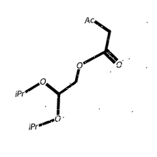 CC(=O)CC(=O)OCC(OC(C)C)OC(C)C